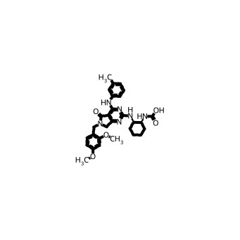 COc1ccc(CN2Cc3nc(N[C@@H]4CCCC[C@@H]4NC(=O)O)nc(Nc4cccc(C)c4)c3C2=O)c(OC)c1